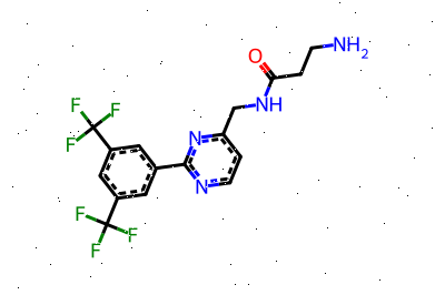 NCCC(=O)NCc1ccnc(-c2cc(C(F)(F)F)cc(C(F)(F)F)c2)n1